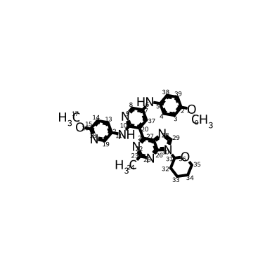 COc1ccc(Nc2cnc(Nc3ccc(OC)nc3)c(-c3nc(C)nc4c3ncn4C3CCCCO3)c2)cc1